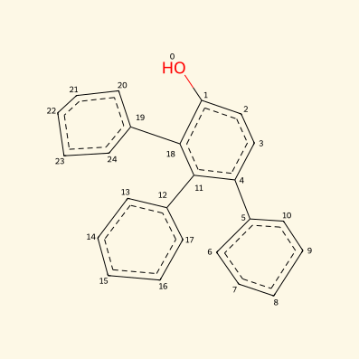 Oc1ccc(-c2ccccc2)c(-c2ccccc2)c1-c1ccccc1